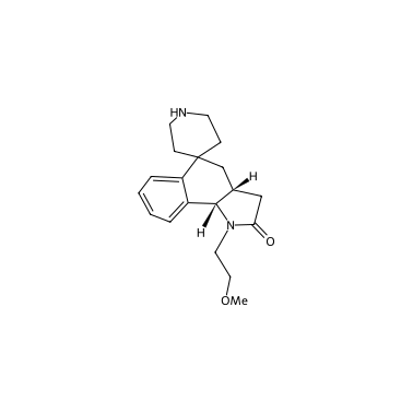 COCCN1C(=O)C[C@H]2CC3(CCNCC3)c3ccccc3[C@H]21